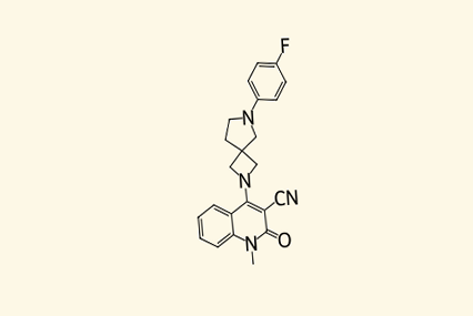 Cn1c(=O)c(C#N)c(N2CC3(CCN(c4ccc(F)cc4)C3)C2)c2ccccc21